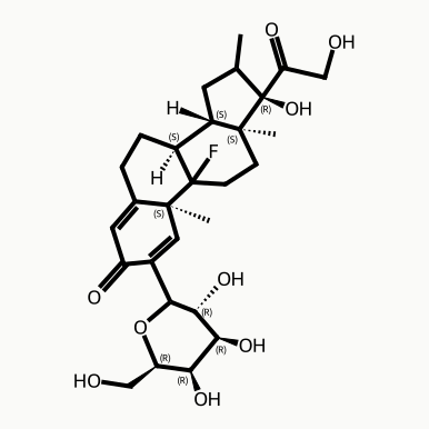 CC1C[C@H]2[C@@H]3CCC4=CC(=O)C(C5O[C@H](CO)[C@H](O)[C@H](O)[C@H]5O)=C[C@]4(C)C3(F)CC[C@]2(C)[C@@]1(O)C(=O)CO